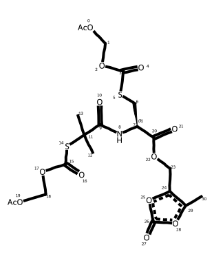 CC(=O)OCOC(=O)SC[C@H](NC(=O)C(C)(C)SC(=O)OCOC(C)=O)C(=O)OCc1oc(=O)oc1C